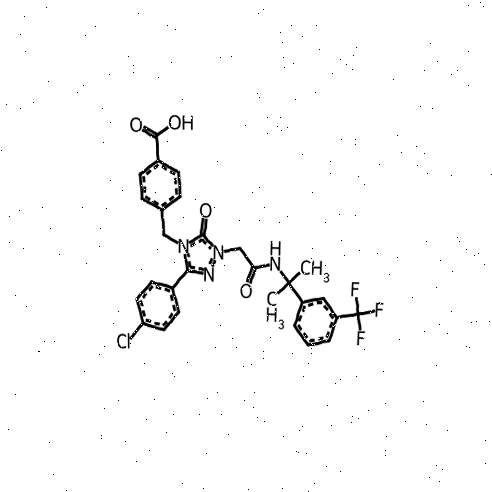 CC(C)(NC(=O)Cn1nc(-c2ccc(Cl)cc2)n(Cc2ccc(C(=O)O)cc2)c1=O)c1cccc(C(F)(F)F)c1